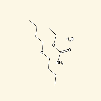 CCCCOCCCC.CCOC(N)=O.O